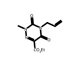 C=CCn1c(=O)c(C(=O)OCC)nn(C)c1=O